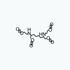 O=BOCCNC(CCCCC(COB=O)NCCOB=O)COB=O